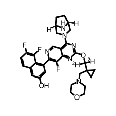 [2H]C([2H])(Oc1nc(N2C[C@H]3CC[C@@H](C2)N3)c2cnc(-c3cc(O)cc4ccc(F)c(F)c34)c(F)c2n1)C1(CN2CCOCC2)CC1